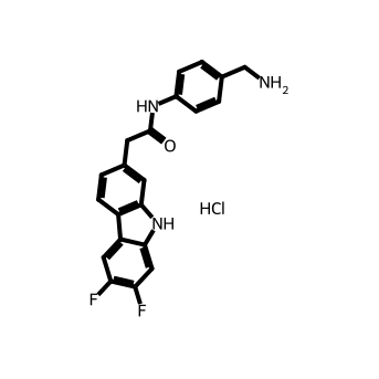 Cl.NCc1ccc(NC(=O)Cc2ccc3c(c2)[nH]c2cc(F)c(F)cc23)cc1